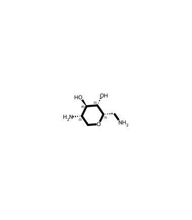 NC[C@@H]1OC[C@H](N)[C@@H](O)[C@@H]1O